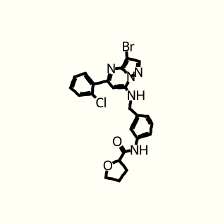 O=C(Nc1cccc(CNc2cc(-c3ccccc3Cl)nc3c(Br)cnn23)c1)C1CCCO1